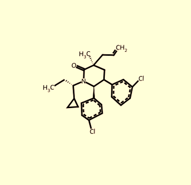 C=CC[C@@]1(C)CC(c2cccc(Cl)c2)[C@@H](c2ccc(Cl)cc2)N([C@@H](CC)C2CC2)C1=O